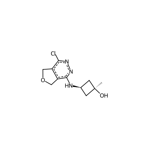 C[C@]1(O)C[C@@H](Nc2nnc(Cl)c3c2COC3)C1